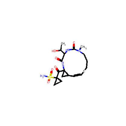 CC(O)C1NC(=O)N(C)CCCCC=CC2CC2(C(=O)C2(S(N)(=O)=O)CC2)NC1=O